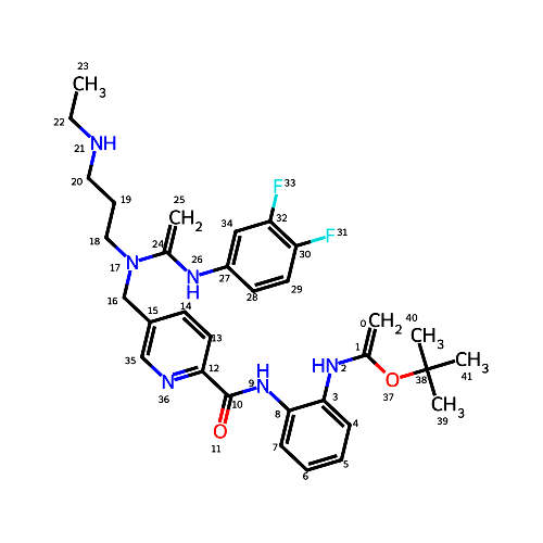 C=C(Nc1ccccc1NC(=O)c1ccc(CN(CCCNCC)C(=C)Nc2ccc(F)c(F)c2)cn1)OC(C)(C)C